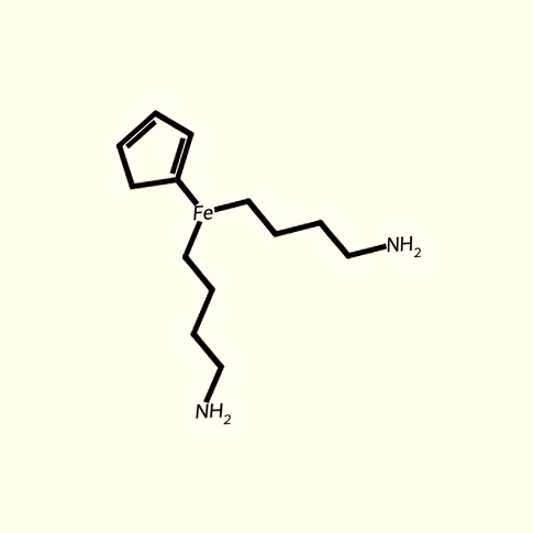 NCCC[CH2][Fe]([CH2]CCCN)[C]1=CC=CC1